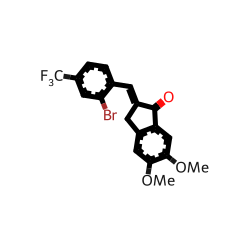 COc1cc2c(cc1OC)C(=O)C(=Cc1ccc(C(F)(F)F)cc1Br)C2